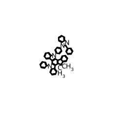 CC1(C)c2ccccc2-c2c1c1c3ccccc3n(-c3ccccc3)c1c1c3ccccc3n(-c3ccc(-n4c(-c5ccccc5)nc5ccccc54)cc3)c21